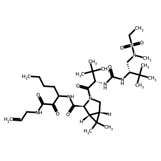 C=CCNC(=O)C(=O)C(CCCC)NC(=O)[C@@H]1[C@@H]2[C@H](CN1C(=O)[C@@H](NC(=O)N[C@H](CN(C)S(=O)(=O)CC)C(C)(C)C)C(C)(C)C)C2(C)C